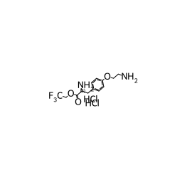 Cl.Cl.NCCOc1ccc(C[C@H](N)C(=O)OCC(F)(F)F)cc1